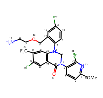 COc1ccc(N2CN(c3ccc(F)cc3COCCN)c3cc(C(F)(F)F)c(F)cc3C2=O)c(Br)n1